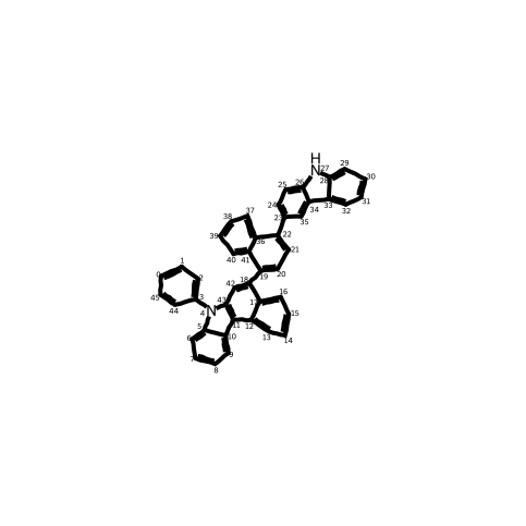 c1ccc(-n2c3ccccc3c3c4ccccc4c(-c4ccc(-c5ccc6[nH]c7ccccc7c6c5)c5ccccc45)cc32)cc1